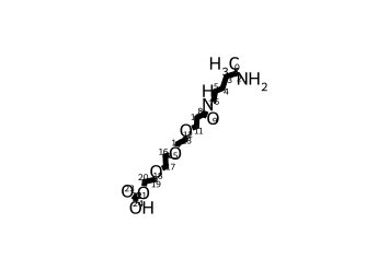 C[C@H](N)CCCCNC(=O)CCOCCOCCOCCOC(=O)O